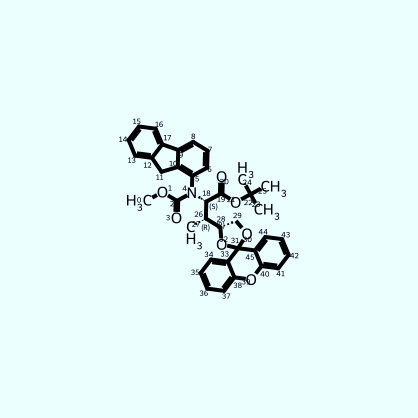 COC(=O)N(c1cccc2c1Cc1ccccc1-2)[C@H](C(=O)OC(C)(C)C)[C@@H](C)[C@@H]1COC2(O1)c1ccccc1Oc1ccccc12